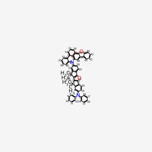 CC1(C)c2cc(N(c3ccccc3)c3ccccc3)ccc2-c2oc3c(c21)C(C)(C)c1cc(N(c2ccc4oc5ccccc5c4c2)c2ccccc2-c2ccccc2)ccc1-3